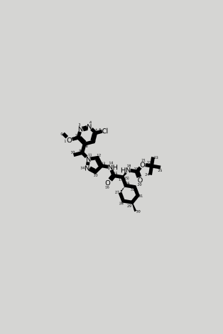 COc1nnc(Cl)cc1C(C)n1cc(NC(=O)[C@@H](NC(=O)OC(C)(C)C)[C@H]2CC[C@H](C)CC2)cn1